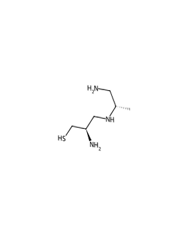 C[C@@H](CN)NC[C@@H](N)CS